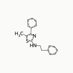 Cc1sc(NCCc2ccccc2)nc1-c1ccccc1